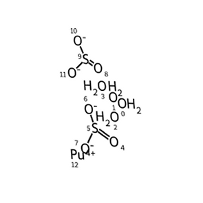 O.O.O.O.O=S([O-])[O-].O=S([O-])[O-].[Pu+4]